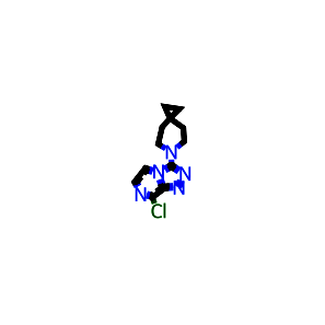 Clc1nccn2c(N3CCC4(CC3)CC4)nnc12